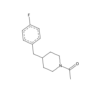 CC(=O)N1CCC(Cc2ccc(F)cc2)CC1